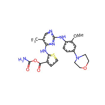 COc1cc(N2CCOCC2)ccc1Nc1ncc(C(F)(F)F)c(Nc2sccc2C(=O)OC(N)=O)n1